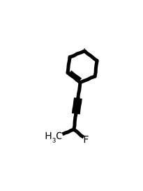 CC(F)C#CC1=CC[CH]CC1